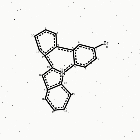 Brc1ccc2c(c1)c1ccccc1c1cc3ccccc3n21